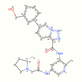 Cc1ncc(NC(=O)CN2CCC[C@@H]2C)cc1NC(=O)c1nnn2cc(-c3cccc(CO)c3)ccc12